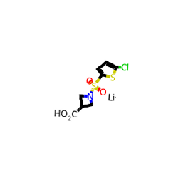 O=C(O)C1CN(S(=O)(=O)c2ccc(Cl)s2)C1.[Li]